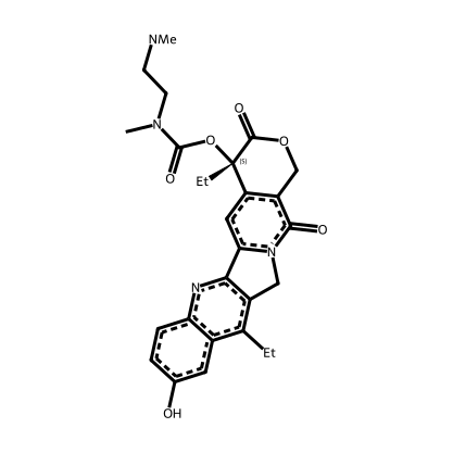 CCc1c2c(nc3ccc(O)cc13)-c1cc3c(c(=O)n1C2)COC(=O)[C@@]3(CC)OC(=O)N(C)CCNC